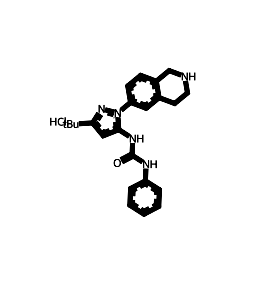 CC(C)(C)c1cc(NC(=O)Nc2ccccc2)n(-c2ccc3c(c2)CCNC3)n1.Cl